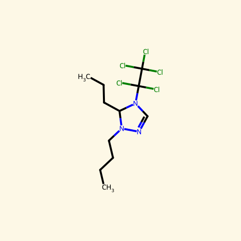 CCCCN1N=CN(C(Cl)(Cl)C(Cl)(Cl)Cl)C1CCC